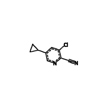 N#Cc1ncc(C2CC2)cc1Cl